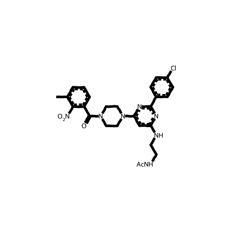 CC(=O)NCCNc1cc(N2CCN(C(=O)c3cccc(C)c3[N+](=O)[O-])CC2)nc(-c2ccc(Cl)cc2)n1